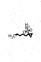 C=CCCCC1(S(N)(=O)=O)CC1